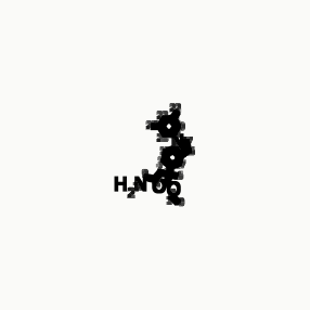 CCOC(=O)C(C)(CCCN)c1ccc2c(ccn2-c2cc(C)cc(C)c2)c1